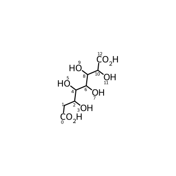 O=C(O)CC(O)C(O)C(O)C(O)C(O)C(=O)O